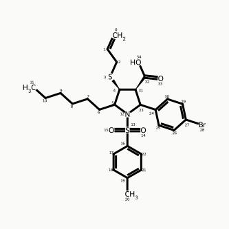 C=CCS[C@@H]1C(CCCCCC)N(S(=O)(=O)c2ccc(C)cc2)C(c2ccc(Br)cc2)[C@@H]1C(=O)O